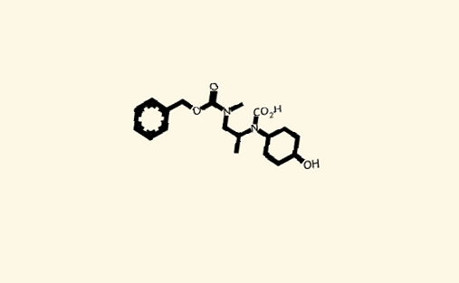 CC(CN(C)C(=O)OCc1ccccc1)N(C(=O)O)C1CCC(O)CC1